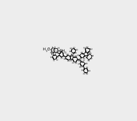 C[C@@H]1CC2C[C@@H](C1)[C@@]1(c3ccccc3-c3cc(-c4ccc5c6ccc(N(c7ccc(-c8ccccc8)cc7)c7ccc8c(c7)C7(CCCCC7)c7ccccc7-8)cc6n(-c6ccccc6)c5c4)ccc31)[C@@H](C)C2